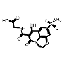 CS(=O)(=O)c1cc2c3c(c1)c(O)c(C(=O)NCC(=O)O)c(=O)n3CCO2